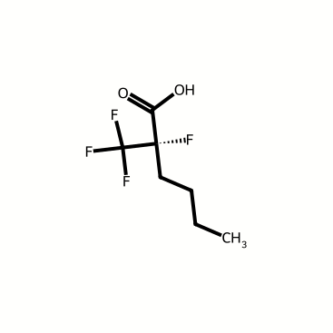 CCCC[C@](F)(C(=O)O)C(F)(F)F